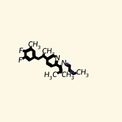 C/C=C\C=N/C(=C(C)C)c1ccc(C(C)Cc2cc(C)c(F)c(F)c2)cn1